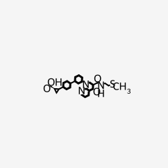 CSCCNC(=O)c1cn(-c2cccc(-c3ccc(C4C[C@H]4C(=O)O)cc3)c2)c2ncccc2c1=O